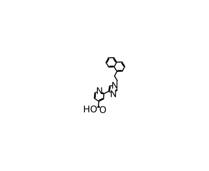 O=C(O)c1ccnc(-c2cn(CCc3cccc4ccccc34)cn2)c1